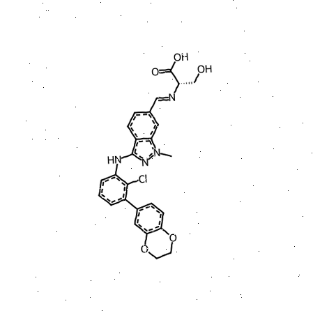 Cn1nc(Nc2cccc(-c3ccc4c(c3)OCCO4)c2Cl)c2ccc(C=N[C@@H](CO)C(=O)O)cc21